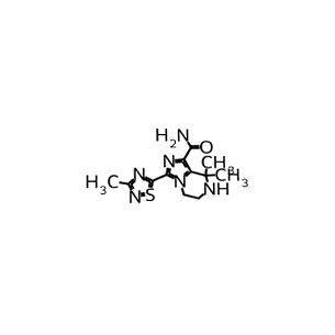 Cc1nsc(-c2nc(C(N)=O)c3n2CCNC3(C)C)n1